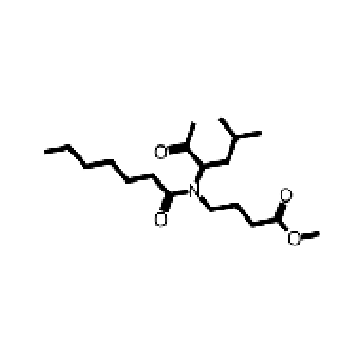 CCCCCCC(=O)N(CCCC(=O)OC)C(CC(C)C)C(C)=O